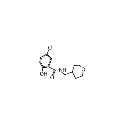 O=C(NCC1CCOCC1)c1cc(Cl)ccc1O